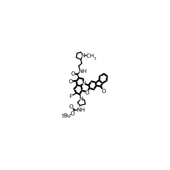 CN1CCCC1CCNC(=O)c1cn2c3cc4c(cc3oc3c(N5CC[C@H](NC(=O)OC(C)(C)C)C5)c(F)cc(c1=O)c32)c(=O)c1ccccc14